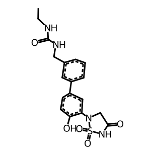 CCNC(=O)NCc1cccc(-c2ccc(O)c(N3CC(=O)NS3(=O)=O)c2)c1